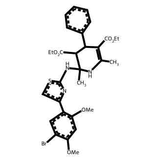 CCOC(=O)C1=C(C)NC(C)(Nc2nc(-c3cc(Br)c(OC)cc3OC)cs2)C(C(=O)OCC)C1c1ccccc1